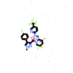 C[C@@H]1CC(F)(F)CN(C(=O)c2nn(C)cc2-c2ccc(F)cc2)[C@@H]1CNc1ccc(C(F)(F)F)cn1